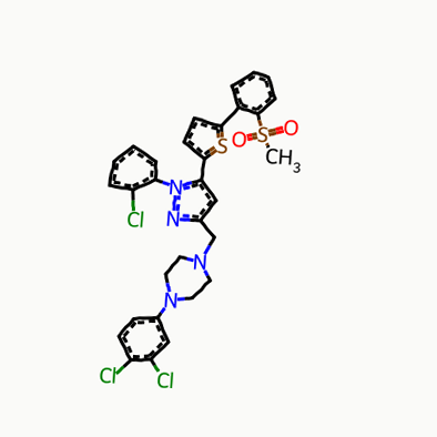 CS(=O)(=O)c1ccccc1-c1ccc(-c2cc(CN3CCN(c4ccc(Cl)c(Cl)c4)CC3)nn2-c2ccccc2Cl)s1